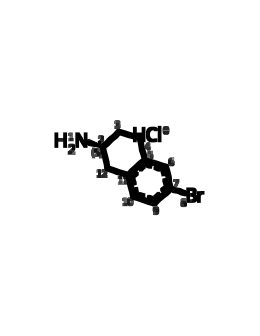 Cl.N[C@H]1CCc2cc(Br)ccc2C1